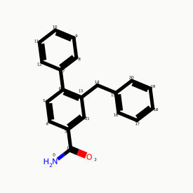 NC(=O)c1ccc(-c2ccccc2)c(Cc2ccccc2)c1